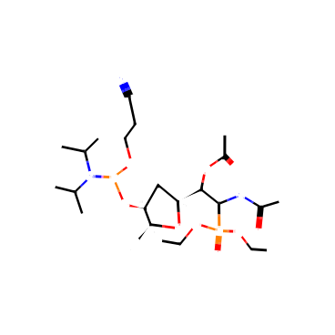 B[C@@H]1O[C@H](C(OC(C)=O)C(NC(C)=O)P(=O)(OCC)OCC)C[C@@H]1OP(OCCC#N)N(C(C)C)C(C)C